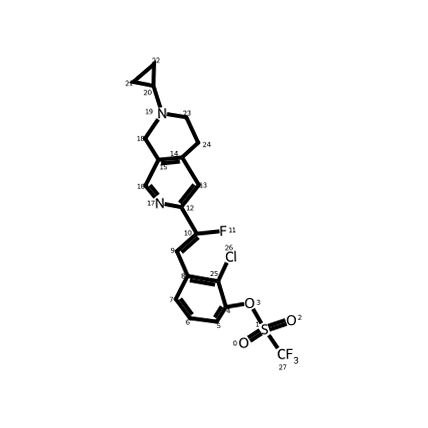 O=S(=O)(Oc1cccc(/C=C(\F)c2cc3c(cn2)CN(C2CC2)CC3)c1Cl)C(F)(F)F